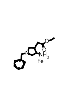 CCOC(=O)CC1CN(Cc2ccccc2)CC1N.[Fe]